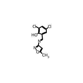 Cc1cc(N=Cc2cc(Cl)cc(Cl)c2O)no1